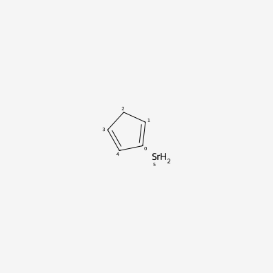 C1=CCC=C1.[SrH2]